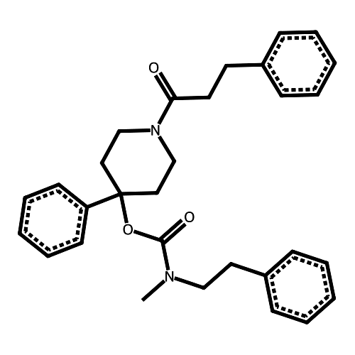 CN(CCc1ccccc1)C(=O)OC1(c2ccccc2)CCN(C(=O)CCc2ccccc2)CC1